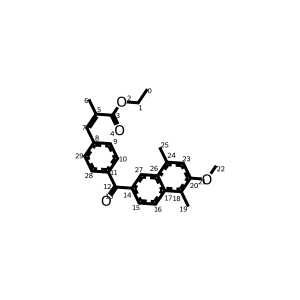 CCOC(=O)C(C)=Cc1ccc(C(=O)c2ccc3c(C)c(OC)cc(C)c3c2)cc1